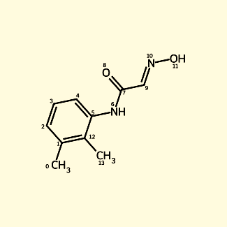 Cc1cccc(NC(=O)C=NO)c1C